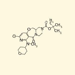 CN(c1nc(Cl)cc2c1C(=O)N1CCN(C(=O)OC(C)(C)C)CC1CO2)C1CCOCC1